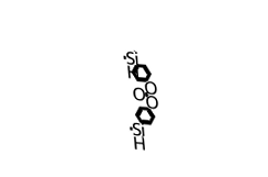 C[SiH](C)c1ccc(OC(=O)Oc2ccc([SiH](C)C)cc2)cc1